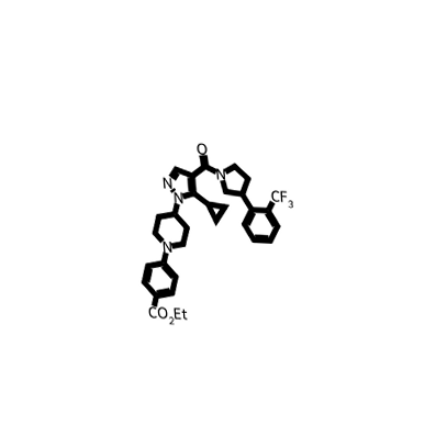 CCOC(=O)c1ccc(N2CCC(n3ncc(C(=O)N4CCC(c5ccccc5C(F)(F)F)C4)c3C3CC3)CC2)cc1